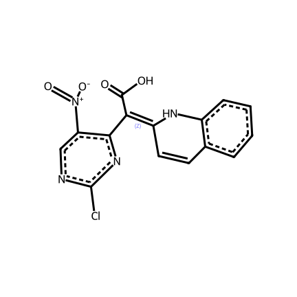 O=C(O)/C(=C1/C=Cc2ccccc2N1)c1nc(Cl)ncc1[N+](=O)[O-]